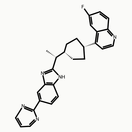 C[C@@H](c1nc2cc(-c3ncccn3)ccc2[nH]1)[C@H]1CC[C@@H](c2ccnc3ccc(F)cc32)CC1